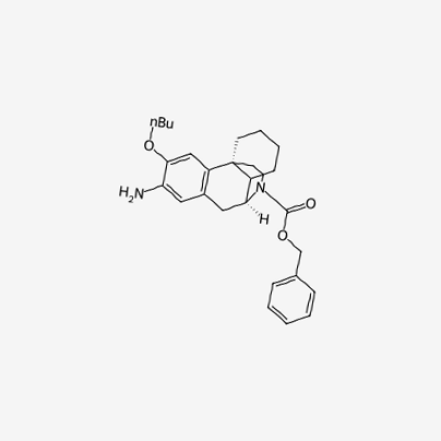 CCCCOc1cc2c(cc1N)C[C@H]1C3CCCC[C@@]23CCN1C(=O)OCc1ccccc1